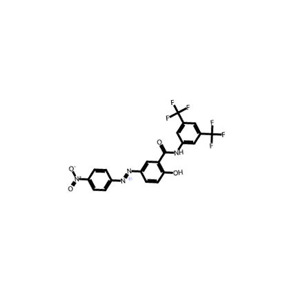 O=C(Nc1cc(C(F)(F)F)cc(C(F)(F)F)c1)c1cc(/N=N/c2ccc([N+](=O)[O-])cc2)ccc1O